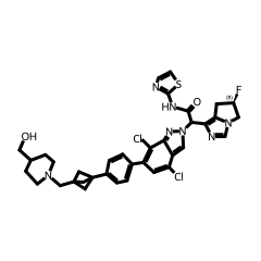 O=C(Nc1nccs1)C(c1ncn2c1C[C@@H](F)C2)n1cc2c(Cl)cc(-c3ccc(C45CC(CN6CCC(CO)CC6)(C4)C5)cc3)c(Cl)c2n1